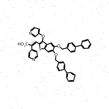 O=C(O)/C(=C/c1sc2cc(OCc3ccc(-c4ccccc4)cc3)c(OCc3ccc(-c4ccccc4)cc3)cc2c1Oc1cccnc1)c1ccncc1